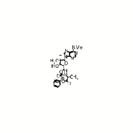 CNc1ncnc2c1ncn2[C@@H]1O[C@H](CO[P@@](=O)(N[C@@H](C)C(=O)OC)Oc2ccccc2)[C@@H](O)[C@@]1(C)F